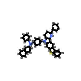 c1ccc(-c2ccc3c(n2)c2cc4c(cc2n3-c2ccc(N(c3ccccc3)c3ccc5ccccc5c3)cc2)sc2ccccc24)cc1